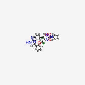 O=C(O)C1C2CCC1CN(c1ncc(-c3ccc4nc5n(c4c3)C(c3ccccc3OC(F)F)CN5)cn1)C2